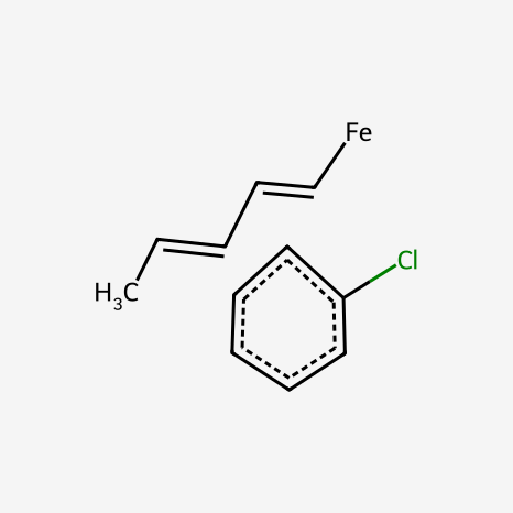 CC=CC=[CH][Fe].Clc1ccccc1